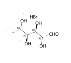 Br.C[C@H](O)[C@H](O)[C@@H](O)[C@@H](O)C=O